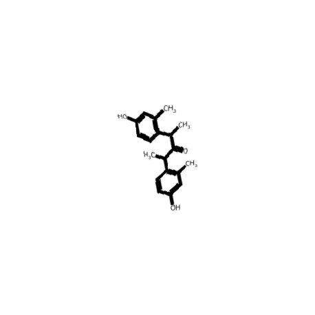 Cc1cc(O)ccc1C(C)C(=O)C(C)c1ccc(O)cc1C